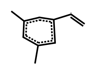 C=[C]c1cc(C)cc(C)c1